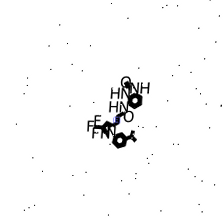 CC(C)c1cccc(-n2nc(C(F)(F)F)cc2/C=C/C(=O)Nc2cccc3[nH]c(=O)[nH]c23)c1